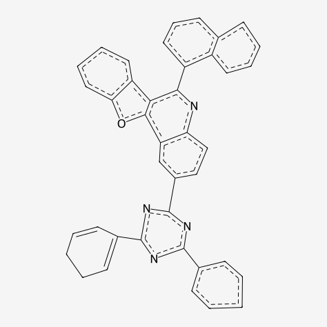 C1=CC(c2nc(-c3ccccc3)nc(-c3ccc4nc(-c5cccc6ccccc56)c5c6ccccc6oc5c4c3)n2)=CCC1